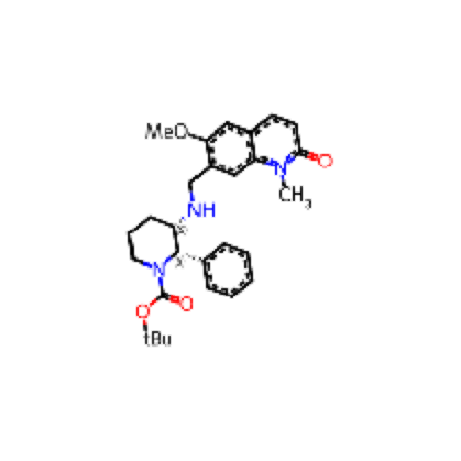 COc1cc2ccc(=O)n(C)c2cc1CN[C@H]1CCCN(C(=O)OC(C)(C)C)[C@H]1c1ccccc1